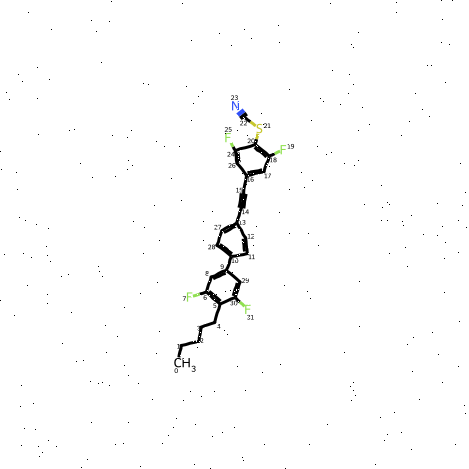 CCCCCc1c(F)cc(-c2ccc(C#Cc3cc(F)c(SC#N)c(F)c3)cc2)cc1F